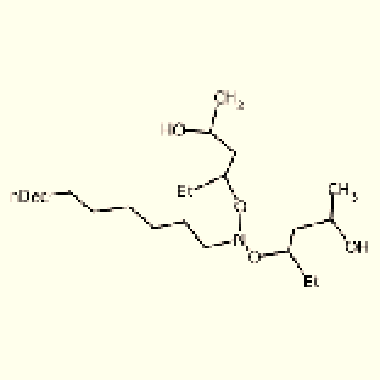 CCCCCCCCCCCCCCCCN(OC(CC)CC(C)O)OC(CC)CC(C)O